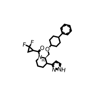 O=C(C1CC1(F)F)N1CCCC(c2cc[nH]n2)[C@@H]1COC1CCC(c2ccccc2)CC1